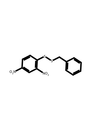 O=[N+]([O-])c1ccc(SSCc2ccccc2)c([N+](=O)[O-])c1